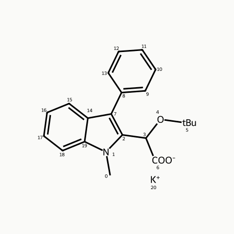 Cn1c(C(OC(C)(C)C)C(=O)[O-])c(-c2ccccc2)c2ccccc21.[K+]